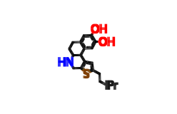 CC(C)CCc1cc2c(s1)CNC1CCc3cc(O)c(O)cc3C21